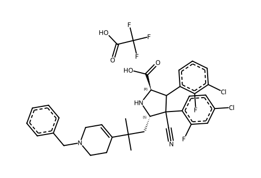 CC(C)(C[C@@H]1N[C@@H](C(=O)O)C(c2cccc(Cl)c2F)C1(C#N)c1ccc(Cl)cc1F)C1=CCN(Cc2ccccc2)CC1.O=C(O)C(F)(F)F